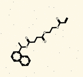 C=CC(=O)OCCOC(=O)CCC(=O)OC(C)c1cccc2ccccc12